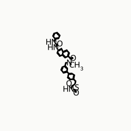 CN(Cc1cccc(-c2ccc(CC3SC(=O)NC3=O)cc2)c1)C(=O)c1ccc2cc(NC(=O)Nc3ccccc3)ccc2c1